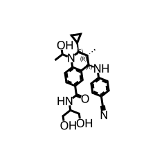 CC(O)N1c2ccc(C(=O)NC(CO)CO)cc2[C@H](Nc2ccc(C#N)cc2)[C@@H](C)[C@@H]1C1CC1